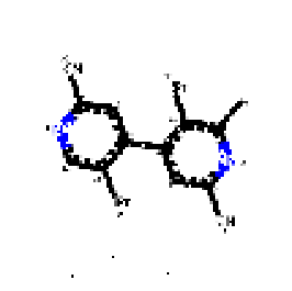 Cc1nc(C#N)cc(-c2cc(C#N)ncc2C(C)C)c1C(C)C